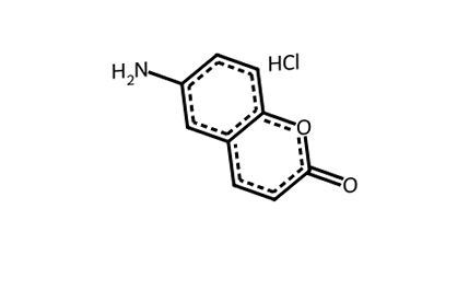 Cl.Nc1ccc2oc(=O)ccc2c1